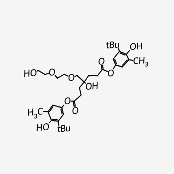 Cc1cc(OC(=O)CCC(O)(CCC(=O)Oc2cc(C)c(O)c(C(C)(C)C)c2)COCCOCCO)cc(C(C)(C)C)c1O